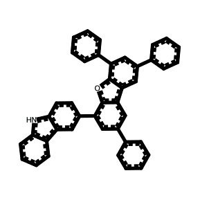 c1ccc(-c2cc(-c3ccccc3)c3oc4c(-c5ccc6[nH]c7ccccc7c6c5)cc(-c5ccccc5)cc4c3c2)cc1